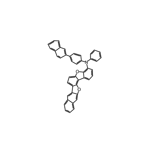 c1ccc(N(c2ccc(-c3ccc4ccccc4c3)cc2)c2cccc3c2oc2ccc4c5cc6ccccc6cc5oc4c23)cc1